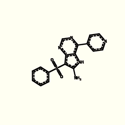 Nc1[nH]c2c(-c3ccncc3)ncnc2c1S(=O)(=O)c1ccccc1